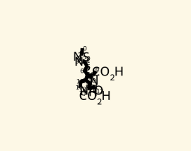 Cc1nnc(SCC2=C(C(=O)O)N3C(=O)[C@@H]4[C@H]3C2CCN4C(=O)O)s1